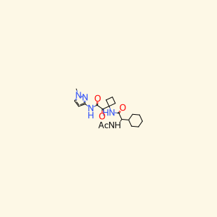 CC(=O)NC(C(=O)NC1(C(=O)C(=O)Nc2ccn(C)n2)CCC1)C1CCCCC1